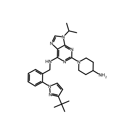 CC(C)n1cnc2c(NCc3ccccc3-n3ccc(C(C)(C)C)n3)nc(N3CCC(N)CC3)nc21